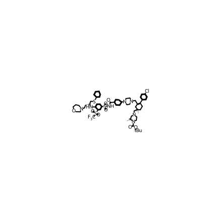 C[C@@H]1CN(C[C@]2(C)CCC(c3ccc(Cl)cc3)=C(CN3CCN(c4ccc(C(=O)NS(=O)(=O)c5ccc(N[C@H](CCN6CCCOCC6)CSc6ccccc6)c(S(=O)(=O)C(F)(F)F)c5)cc4)CC3)C2)CCN1C(=O)OC(C)(C)C